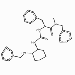 CN(Cc1ccccc1)C(=O)[C@H](Cc1ccccc1)NC(=S)N[C@H]1CCCC[C@@H]1NCc1ccccc1